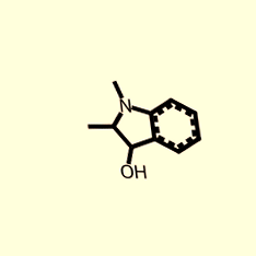 CC1C(O)c2ccccc2N1C